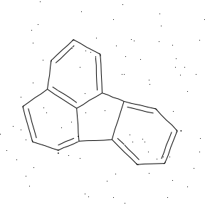 [c]1ccc2c(c1)-c1cccc3cc[c]c-2c13